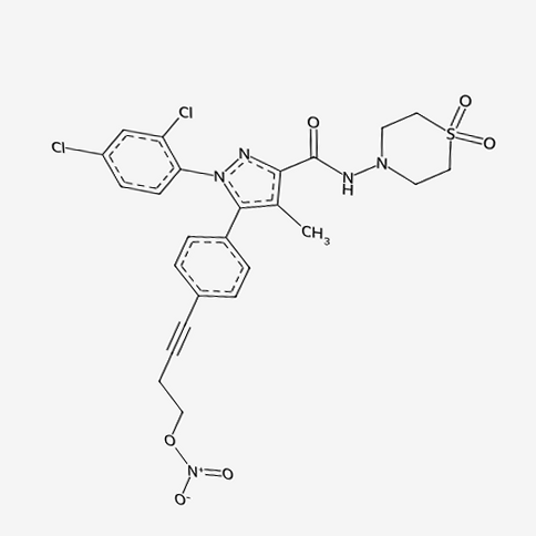 Cc1c(C(=O)NN2CCS(=O)(=O)CC2)nn(-c2ccc(Cl)cc2Cl)c1-c1ccc(C#CCCO[N+](=O)[O-])cc1